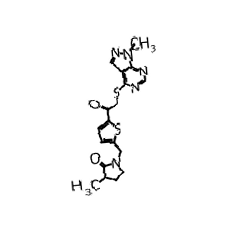 CC1CCN(Cc2ccc(C(=O)CSc3ncnc4c3cnn4C)s2)C1=O